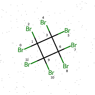 BrC1(Br)C(Br)(Br)C(Br)(Br)C1(Br)Br